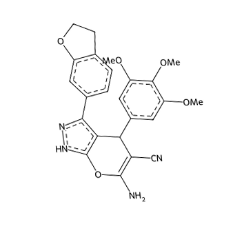 COc1cc(C2C(C#N)=C(N)Oc3[nH]nc(-c4ccc5c(c4)OCC5)c32)cc(OC)c1OC